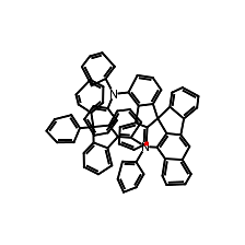 c1ccc(N(c2ccccc2)c2cccc3c2-c2ccccc2C32c3ccccc3-c3cc4ccccc4c(N(c4ccccc4)c4cccc5c4-c4ccccc4C5(c4ccccc4)c4ccccc4)c32)cc1